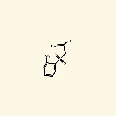 C=C(C)CS(=O)(=O)c1ccccc1C